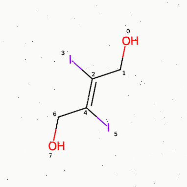 OC/C(I)=C(\I)CO